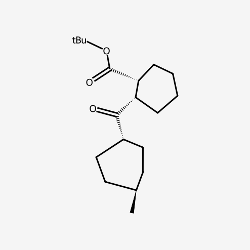 CC(C)(C)OC(=O)[C@@H]1CCCC[C@@H]1C(=O)[C@H]1CC[C@H](C)CC1